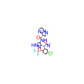 CN(C)C(=O)C(c1cc(Cl)ccc1OC(F)F)c1n[nH]cc1NC(=O)c1cnn2cccnc12